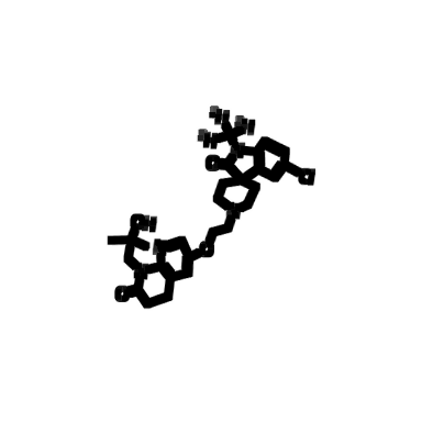 [2H]C([2H])([2H])N1C(=O)C2(CCN(CCOc3cnc4c(c3)CCC(=O)N4CC(C)(C)O)CC2)c2cc(Cl)ccc21